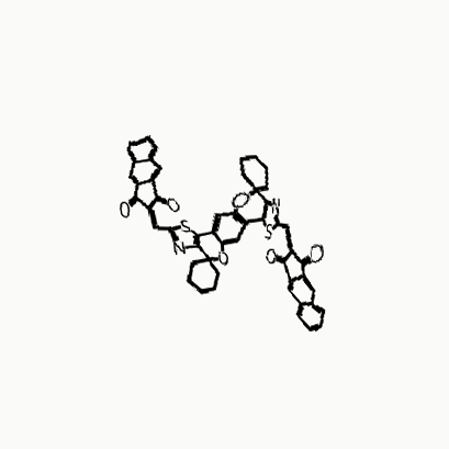 O=C1C(=Cc2nc3c(s2)-c2cc4c(cc2OC32CCCCC2)-c2sc(C=C3C(=O)c5cc6ccccc6cc5C3=O)nc2C2(CCCCC2)O4)C(=O)c2cc3ccccc3cc21